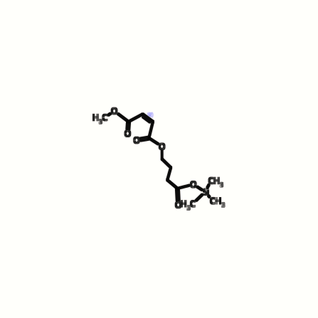 COC(=O)/C=C\C(=O)OCCCC(=O)O[Si](C)(C)C